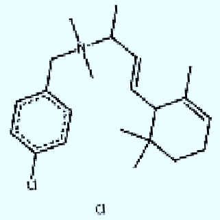 CC1=CCCC(C)(C)C1C=CC(C)[N+](C)(C)Cc1ccc(Cl)cc1.[Cl-]